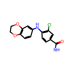 [NH]C(=O)c1ccc(Nc2ccc3c(c2)OCCO3)c(Cl)c1